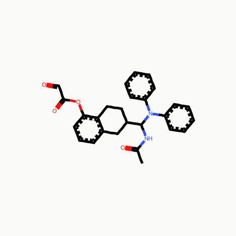 CC(=O)NC(C1CCc2c(cccc2OC(=O)C=O)C1)N(c1ccccc1)c1ccccc1